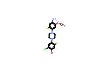 COc1cc(N2CCN(c3cc(Cl)c(Br)cc3F)CC2)c(F)cc1N